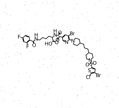 O=C(NCCCCC(NS(=O)(=O)c1cnc(N2CCC(CCCC3CCN(S(=O)(=O)c4cc(Br)c(Cl)s4)CC3)CC2)c(Br)c1)C(=O)O)c1ccc(F)cc1F